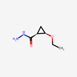 CCO[C@@H]1C[C@@H]1C(=O)NN